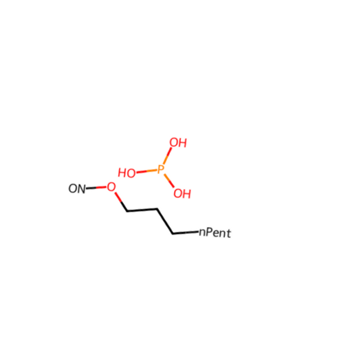 CCCCCCCCON=O.OP(O)O